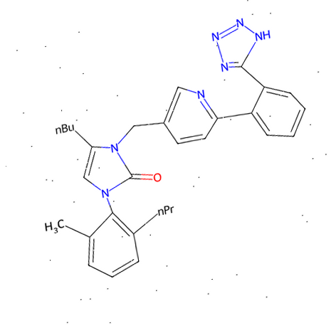 CCCCc1cn(-c2c(C)cccc2CCC)c(=O)n1Cc1ccc(-c2ccccc2-c2nnn[nH]2)nc1